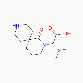 CC(C)[C@@H](C(=O)O)N1CCCC2(CCNCC2)C1=O